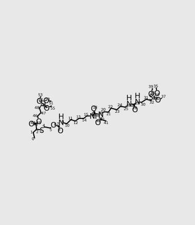 CCC(SCCOC(=O)NCCCCCCNC(=O)N(CCCCCCNC(=O)NCCC[Si](OC)(OC)OC)C(C)=O)C(=O)OCCC[Si](OC)(OC)OC